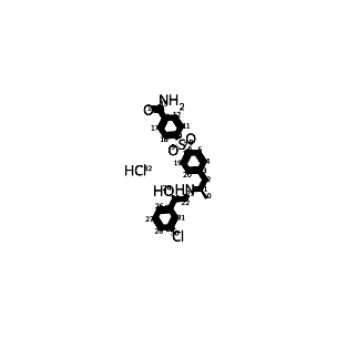 C[C@H](Cc1ccc(S(=O)(=O)c2ccc(C(N)=O)cc2)cc1)NC[C@H](O)c1cccc(Cl)c1.Cl